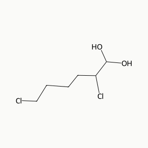 OC(O)C(Cl)CCCCCl